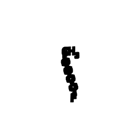 CCCc1ccc(-c2ccc([C@H]3CC[C@H]([C@H]4CC[C@H](CCF)CC4)CC3)cc2)cc1